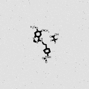 COc1cc2ncnc(NCCc3ccc(N[SH](=O)=O)cc3)c2cc1OC.O=C(O)C(F)(F)F